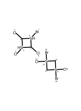 ClC1[SiH](Cl)C(Cl)[SiH]1Br.Cl[Si]1(Br)C[Si](Cl)(Br)C1